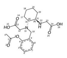 CC(=O)Oc1ccccc1CN(CC(=O)O)[C@@H]1CCCC[C@H]1NCC(=O)O